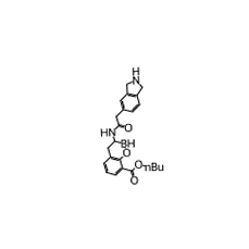 CCCCOC(=O)c1cccc2c1OBC(NC(=O)Cc1ccc3c(c1)CNC3)C2